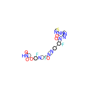 O=C1CC[C@H](Oc2ccc(N3CCC(F)(CC(=O)N4CCN(c5ccc(-c6cc(F)c7c(c6)C(=O)N(C(C(=O)Nc6nccs6)c6ncn8c6CCC8)C7)cc5)CC4)CC3)c(F)c2)C(=O)N1